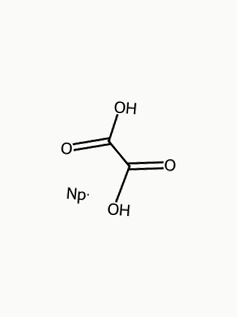 O=C(O)C(=O)O.[Np]